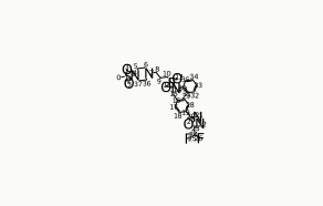 CS(=O)(=O)N1CCN(CCCS(=O)(=O)N(Cc2ccc(-c3nnc(C(F)F)o3)cc2)c2ccccc2)CC1